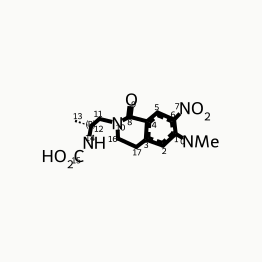 CNc1cc2c(cc1[N+](=O)[O-])C(=O)N(C[C@@H](C)NC(=O)O)CC2